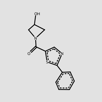 O=C(c1cnc(-c2ccccc2)s1)N1CC(O)C1